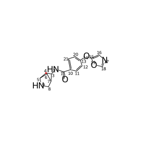 O=C(NC1CC2CC1CN2)c1ccc(Oc2cnco2)cc1